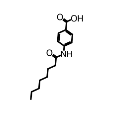 CCCCCCCC(=O)Nc1ccc(C(=O)O)cc1